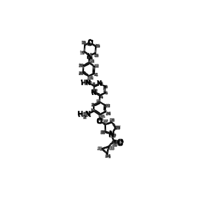 Nc1cc(-c2ccnc(Nc3ccc(N4CCOCC4)cc3)n2)ccc1OC1CCN(C(=O)C2CC2)C1